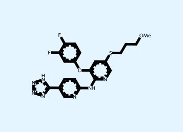 COCCCSc1cnc(Nc2ccc(-c3nnn[nH]3)cn2)c(Oc2ccc(F)c(F)c2)c1